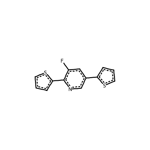 Fc1cc(-c2cccs2)cnc1-c1cccs1